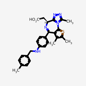 Cc1ccc(CNc2ccc(C3=N[C@@H](CC(=O)O)c4nnc(C)n4-c4sc(C)c(C)c43)cc2)cc1